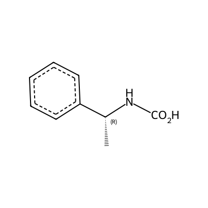 C[C@@H](NC(=O)O)c1ccccc1